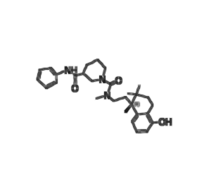 CN(CC[C@@]1(C)c2cccc(O)c2CCC1(C)C)C(=O)N1CCCC(C(=O)Nc2ccccc2)C1